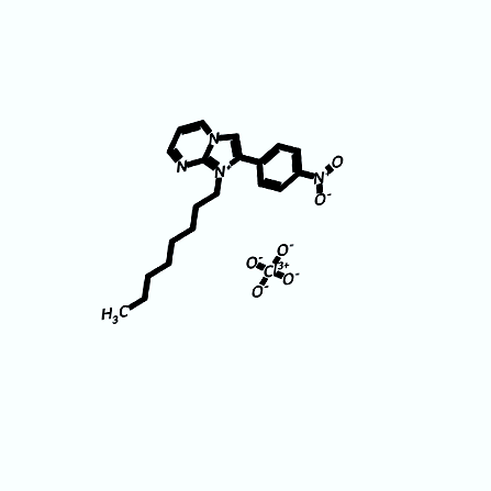 CCCCCCCC[n+]1c(-c2ccc([N+](=O)[O-])cc2)cn2cccnc21.[O-][Cl+3]([O-])([O-])[O-]